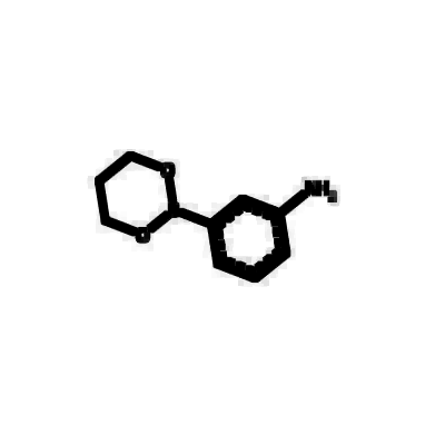 Nc1cccc(B2OCCCO2)c1